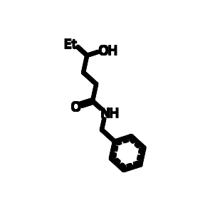 CCC(O)CCC(=O)NCc1ccccc1